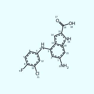 Nc1cc(Nc2ccc(F)c(Cl)c2)c2cc(C(=O)O)[nH]c2c1